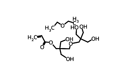 C=CC(=O)OCC(CO)(CO)COCC(CO)(CO)CO.CCOCC